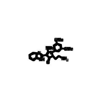 CNC1=C(c2nc3ccccc3[nH]2)C(=O)C(CCN)N1c1cc(OC)cc(OC)c1